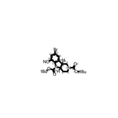 CC(C)(C)OC(=O)N1CC[C@H]2[C@@H](C1)c1cc(Br)cc(C#N)c1N2C(=O)OC(C)(C)C